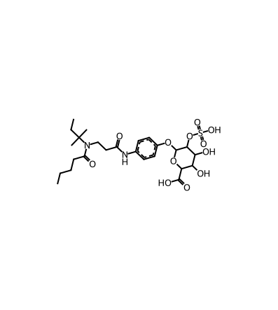 CCCCC(=O)N(CCC(=O)Nc1ccc(OC2OC(C(=O)O)C(O)C(O)C2OS(=O)(=O)O)cc1)C(C)(C)CC